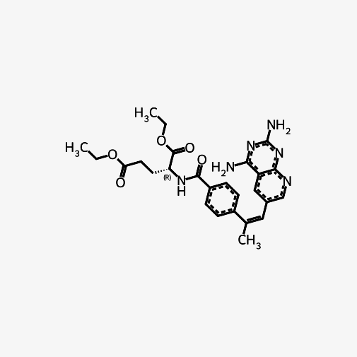 CCOC(=O)CC[C@@H](NC(=O)c1ccc(C(C)=Cc2cnc3nc(N)nc(N)c3c2)cc1)C(=O)OCC